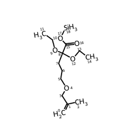 C=C(C)COCCCC(OCC)(OCC)C(=O)O[SiH3]